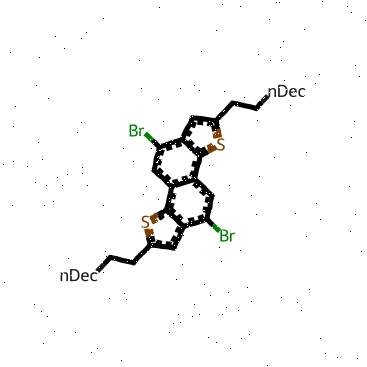 CCCCCCCCCCCCc1cc2c(Br)cc3c(cc(Br)c4cc(CCCCCCCCCCCC)sc43)c2s1